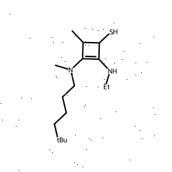 CCNC1=C(N(C)CCCCC(C)(C)C)C(C)C1S